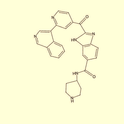 O=C(NC1CCNCC1)c1ccc2nc(C(=O)c3ccnc(-c4cncc5ccccc45)c3)[nH]c2c1